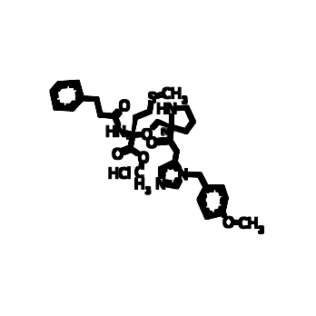 COC(=O)[C@](CCSC)(NC(=O)CCc1ccccc1)OC[C@]1(C(=O)Cc2cncn2Cc2ccc(OC)cc2)CCCN1.Cl